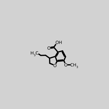 CCCC1COc2c(OC)ccc(C(=O)O)c21